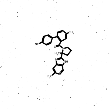 Cc1ccc(-c2ccc(C#N)cc2)c(C(=O)N2CCCC2(C)c2nc3cc(C(F)(F)F)ccc3[nH]2)c1